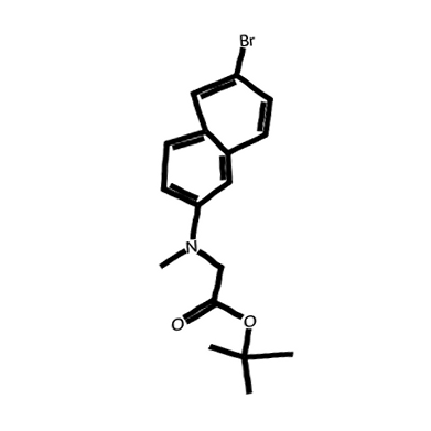 CN(CC(=O)OC(C)(C)C)c1ccc2cc(Br)ccc2c1